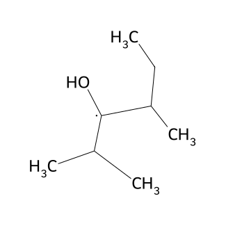 CCC(C)[C](O)C(C)C